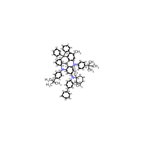 Cc1cc2c3c(c1)C(c1ccccc1)(c1ccccc1)c1cccc4c1B3c1c(cc(N3c5ccc(-c6ccccc6)cc5C5(C)CCCCC35C)cc1N2c1ccc(C(C)(C)C)cc1)N4c1ccc(C(C)(C)C)cc1